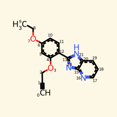 C#CCOc1cc(OCC)ccc1-c1nc2ncccc2[nH]1